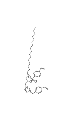 C=Cc1ccc(CN2C=CN(CC(COCCCCCCCCCCCCCCCC)OS(=O)(=O)c3ccc(C=C)cc3)C2)cc1